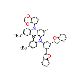 Cc1cc2c3c(c1)N(c1cccc4c1OCCO4)c1ccc(C(C)(C)C)cc1B3c1cc(C(C)(C)C)ccc1N2c1cc(-c2cc3ccccc3o2)cc(-c2cc3ccccc3o2)c1